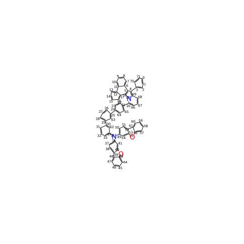 c1ccc(-c2c3c4ccccc4c4ccccc4c3n3c(-c4ccc(-c5cccc(-c6cccc(N(c7ccc8c(c7)oc7ccccc78)c7ccc8c(c7)oc7ccccc78)c6)c5)cc4)cccc23)cc1